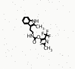 Cc1nc(C(F)(F)F)c(OC(=O)NCCc2c(C)[nH]c3ccccc23)s1